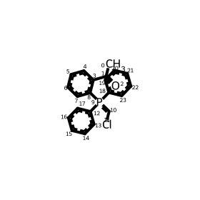 CC(=O)c1ccccc1P(=CCl)(c1ccccc1)c1ccccc1